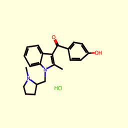 Cc1c(C(=O)c2ccc(O)cc2)c2ccccc2n1CC1CCCN1C.Cl